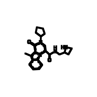 Cc1c2ccccc2n2c(C(=O)NCC3CCN3)cn(C3CCCC3)c(=O)c12